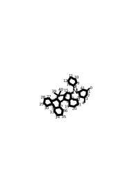 Cc1cc(C)cc(N(c2ccccc2)c2cc3c(c4ccccc24)-c2c(c4ccccc4c4ccccc24)C3(C)C)c1